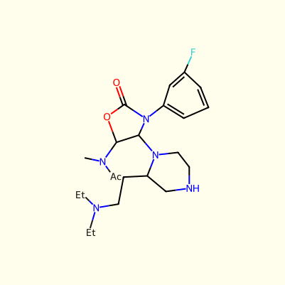 CCN(CC)CCC1CNCCN1C1C(N(C)C(C)=O)OC(=O)N1c1cccc(F)c1